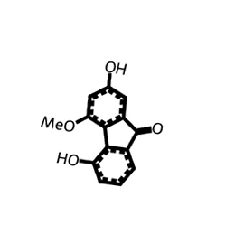 COc1cc(O)cc2c1-c1c(O)cccc1C2=O